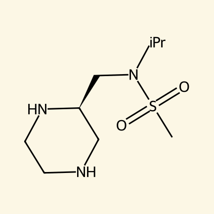 CC(C)N(C[C@H]1CNCCN1)S(C)(=O)=O